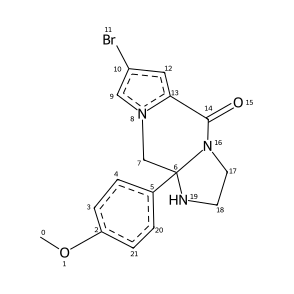 COc1ccc(C23Cn4cc(Br)cc4C(=O)N2CCN3)cc1